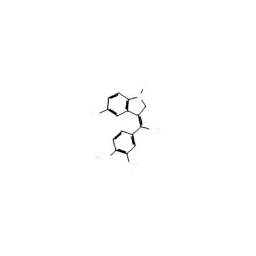 CO/C(=C1\CN(C(C)=O)c2ccc(C(C)=O)cc21)c1ccc(OC)c(OC)c1